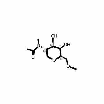 COC[C@H]1OC[C@H](N(C)C(C)=O)[C@@H](O)[C@H]1O